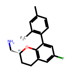 Cc1ccc(-c2cc(F)cc3c2O[C@@H](CN)CC3)c(C(F)(F)F)c1